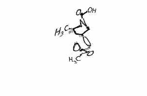 C[C@@H]1C[C@H](OS(C)(=O)=O)CN1C(=O)O